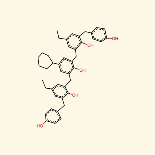 CCc1cc(Cc2ccc(O)cc2)c(O)c(Cc2cc(C3CCCCC3)cc(Cc3cc(CC)cc(Cc4ccc(O)cc4)c3O)c2O)c1